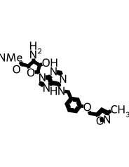 CNC(=O)C1OC(n2cnc3c(NCc4cccc(OCc5cc(C)no5)c4)ncnc32)C(O)C1N